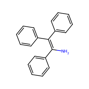 NC(=C(c1ccccc1)c1ccccc1)c1ccccc1